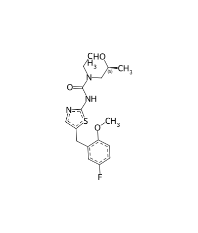 CCN(C[C@H](C)O)C(=O)Nc1ncc(Cc2cc(F)ccc2OC)s1